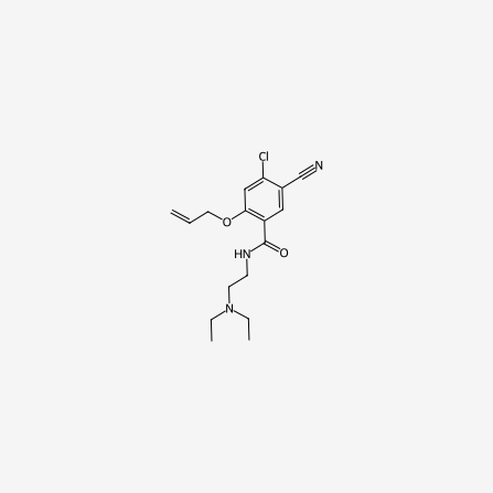 C=CCOc1cc(Cl)c(C#N)cc1C(=O)NCCN(CC)CC